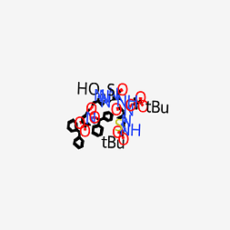 CC(C)(C)OC(=O)Nc1nc(/C(=N/OC(C)(C)C(=O)OC(C)(C)C)C(=O)N[C@@H]2C(=O)N(S(=O)(=O)O)[C@@H]2Cn2cc(COCc3cc(=O)c(OC(c4ccccc4)c4ccccc4)cn3OC(c3ccccc3)c3ccccc3)nn2)cs1